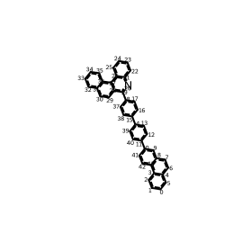 c1ccc2c(c1)ccc1cc(-c3ccc(-c4ccc(-c5nc6ccccc6c6c5ccc5ccccc56)cc4)cc3)ccc12